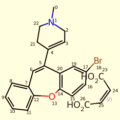 CN1CC=C(C2=Cc3ccccc3Oc3ccc(Br)cc32)CC1.O=C(O)/C=C\C(=O)O